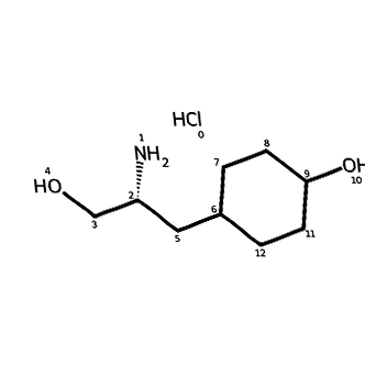 Cl.N[C@@H](CO)CC1CCC(O)CC1